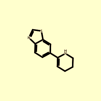 C1=C(c2ccc3ncsc3c2)NCCC1